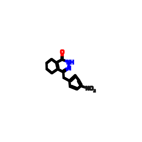 O=c1[nH]nc(Cc2ccc([N+](=O)[O-])cc2)c2c1CCCC2